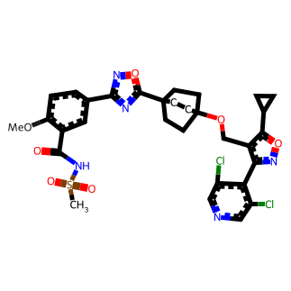 COc1ccc(-c2noc(C34CCC(OCc5c(-c6c(Cl)cncc6Cl)noc5C5CC5)(CC3)CC4)n2)cc1C(=O)NS(C)(=O)=O